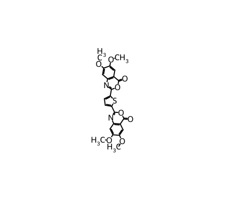 COc1cc2nc(-c3ccc(-c4nc5cc(OC)c(OC)cc5c(=O)o4)s3)oc(=O)c2cc1OC